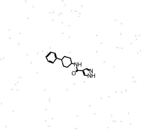 O=C(NC1CCC(c2ccccc2)CC1)c1cn[nH]c1